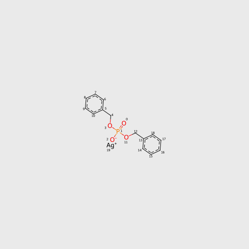 O=P([O-])(OCc1ccccc1)OCc1ccccc1.[Ag+]